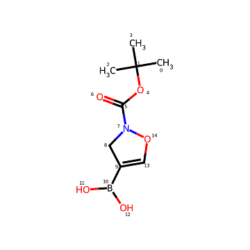 CC(C)(C)OC(=O)N1CC(B(O)O)=CO1